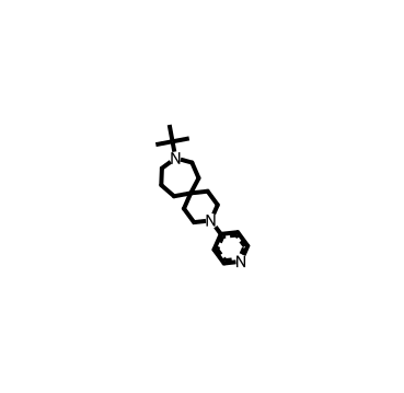 CC(C)(C)N1CCCC2(CCN(c3ccncc3)CC2)CC1